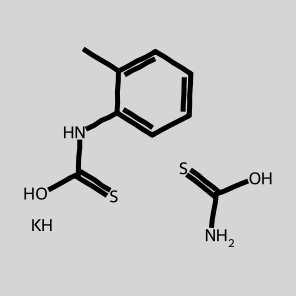 Cc1ccccc1NC(O)=S.NC(O)=S.[KH]